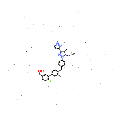 CC(=O)CC1C(C)C(c2ccn(C)n2)=NN1c1ccc(Cc2ccc(-c3cc(CO)ccc3F)cc2C)cc1